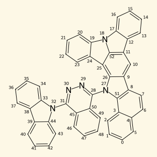 c1ccc2c(c1)ccc1c3cc4c5ccccc5n5c6ccccc6c(c3n(-c3nnc(-n6c7ccccc7c7ccccc76)c6ccccc36)c21)c45